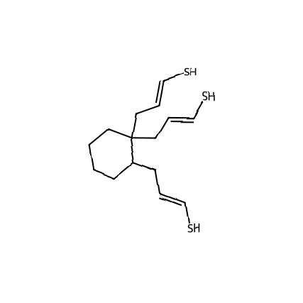 SC=CCC1CCCCC1(CC=CS)CC=CS